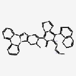 C=c1c(C2=Cc3nc4c5ccccc5c5ccccc5n4c3CC2C)c2ccccc2c(-c2cccc3c2CCC=C3)/c1=C/C=C\C